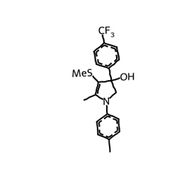 CSC1=C(C)N(c2ccc(C)cc2)CC1(O)c1ccc(C(F)(F)F)cc1